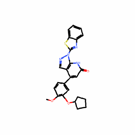 COc1ccc(-c2cc(=O)[nH]c3c2cnn3-c2nc3ccccc3s2)cc1OC1CCCC1